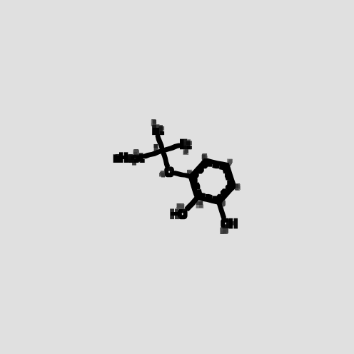 CCCCCCCC(CC)(CC)Oc1cccc(O)c1O